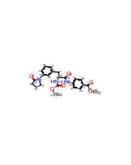 CC(C)(C)OC(=O)N[C@@H](Cc1cccc(N2CCCC2=O)c1)C(=O)Nc1ccc(C(=O)OC(C)(C)C)cc1